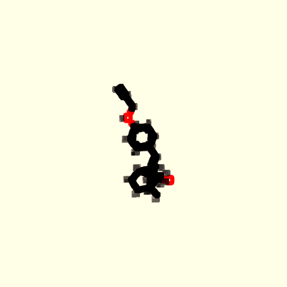 C#CCOc1ccc(/C=C2/C(=O)C3(C)CCC2C3(C)C)cc1